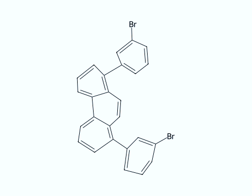 Brc1cccc(-c2cccc3c2ccc2c(-c4cccc(Br)c4)cccc23)c1